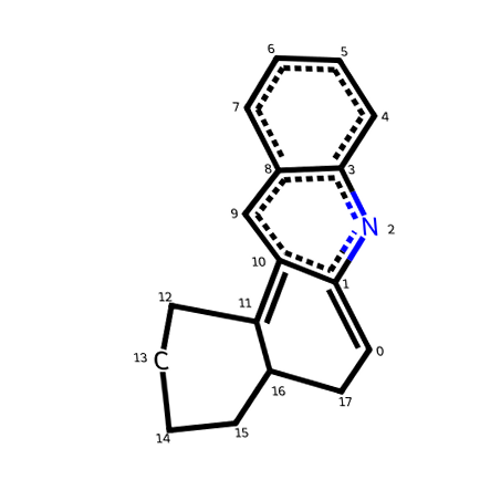 C1=c2nc3ccccc3cc2=C2CCCCC2C1